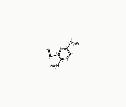 C=Cc1cc(NC(C)C)ccc1NC